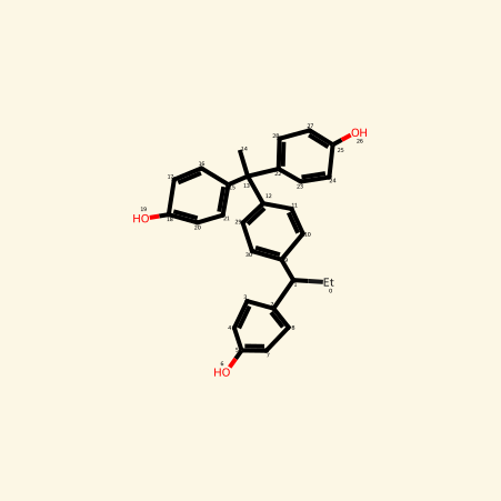 CCC(c1ccc(O)cc1)c1ccc(C(C)(c2ccc(O)cc2)c2ccc(O)cc2)cc1